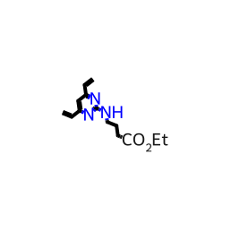 C=Cc1cc(C=C)nc(NCCCC(=O)OCC)n1